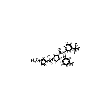 Cn1cnc(S(=O)(=O)N2C[C@@H](C(=O)Nc3cc(C(F)(F)F)ccn3)[C@H](c3ccc(F)cc3)C2)c1